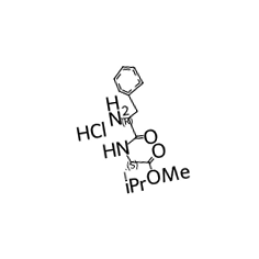 COC(=O)[C@H](CC(C)C)NC(=O)[C@H](N)Cc1ccccc1.Cl